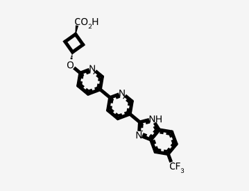 O=C(O)[C@H]1C[C@H](Oc2ccc(-c3ccc(-c4nc5cc(C(F)(F)F)ccc5[nH]4)cn3)cn2)C1